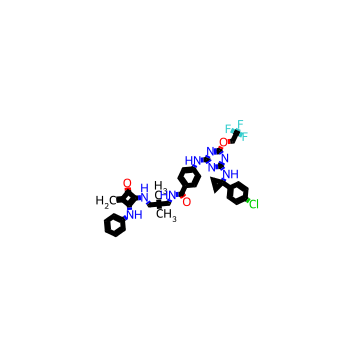 C=C1C(=O)C(NCC(C)(C)CNC(=O)c2ccc(Nc3nc(NC4(c5ccc(Cl)cc5)CC4)nc(OCC(F)(F)F)n3)cc2)=C1Nc1ccccc1